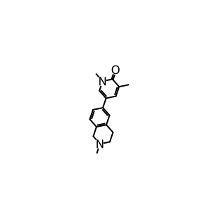 Cc1cc(-c2ccc3c(c2)CCN(C)C3)cn(C)c1=O